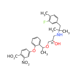 Cc1ccc(CC(C)(C)NC[C@@H](O)COC(C)c2ccccc2Oc2ccc(C(=O)O)c([N+](=O)[O-])c2)cc1F